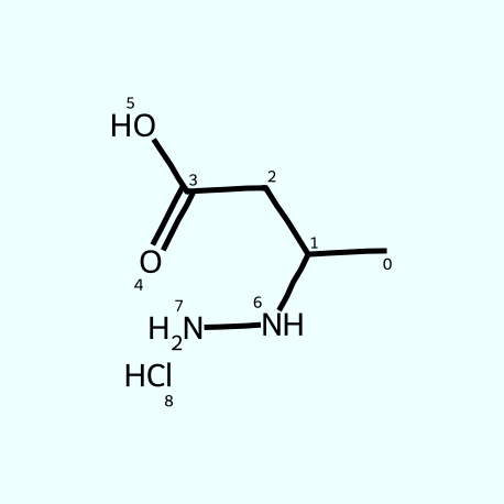 CC(CC(=O)O)NN.Cl